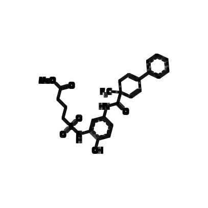 COC(=O)CCCS(=O)(=O)Nc1cc(NC(=O)C2(C(F)(F)F)C=CC(c3ccccc3)=CC2)ccc1O